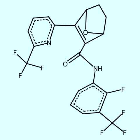 O=C(Nc1cccc(C(F)(F)F)c1F)C1=C(c2cccc(C(F)(F)F)n2)C2CCC1O2